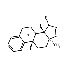 C[C@@]12C=CC(F)[C@H]1[C@@H]1CCc3ccccc3[C@H]1CC2